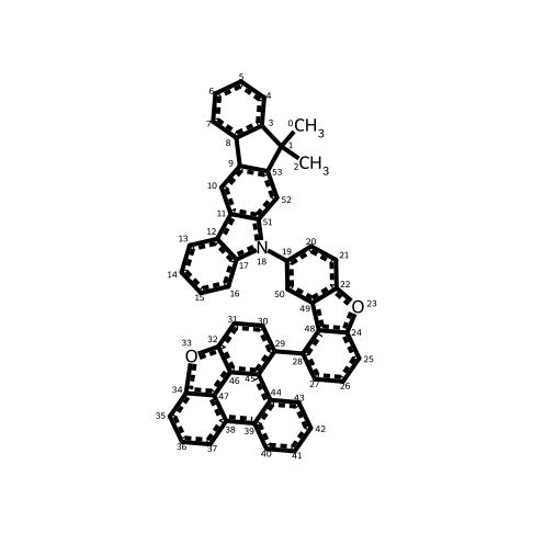 CC1(C)c2ccccc2-c2cc3c4ccccc4n(-c4ccc5oc6cccc(-c7ccc8oc9cccc%10c%11ccccc%11c7c8c9%10)c6c5c4)c3cc21